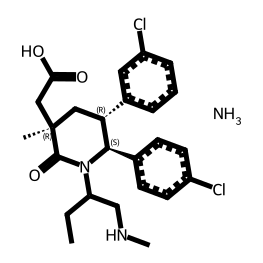 CCC(CNC)N1C(=O)[C@@](C)(CC(=O)O)C[C@H](c2cccc(Cl)c2)[C@H]1c1ccc(Cl)cc1.N